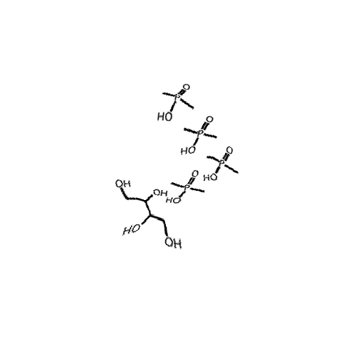 CP(C)(=O)O.CP(C)(=O)O.CP(C)(=O)O.CP(C)(=O)O.OCC(O)C(O)CO